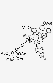 COc1ccc(C(OC(C(=O)COc2ccccc2)[C@H]2O[C@@H](n3cnc4c(N)ncnc43)C[C@@H]2OP(=O)(OCCOCCO[C@@H]2O[C@H](COC(C)=O)[C@@H](OC(C)=O)[C@H](OC(C)=O)[C@H]2OC(C)=O)N(C(C)C)C(C)C)(c2ccccc2)c2ccc(OC)cc2)cc1